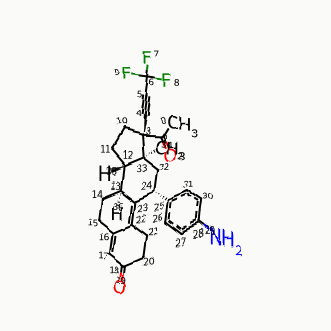 CC(=O)[C@@]1(C#CC(F)(F)F)CC[C@H]2[C@@H]3CCC4=CC(=O)CCC4=C3[C@@H](c3ccc(N)cc3)C[C@@]21C